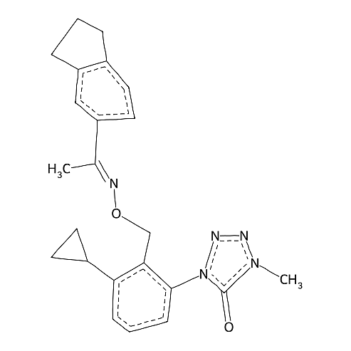 CC(=NOCc1c(C2CC2)cccc1-n1nnn(C)c1=O)c1ccc2c(c1)CCC2